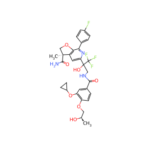 C[C@@H](O)COc1ccc(C(=O)NCC(O)(c2cc3c(c(-c4ccc(F)cc4)n2)OC[C@]3(C)C(N)=O)C(F)(F)F)cc1OC1CC1